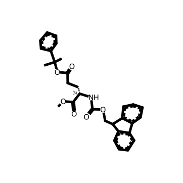 COC(=O)[C@H](CCC(=O)OC(C)(C)c1ccccc1)NC(=O)OCC1c2ccccc2-c2ccccc21